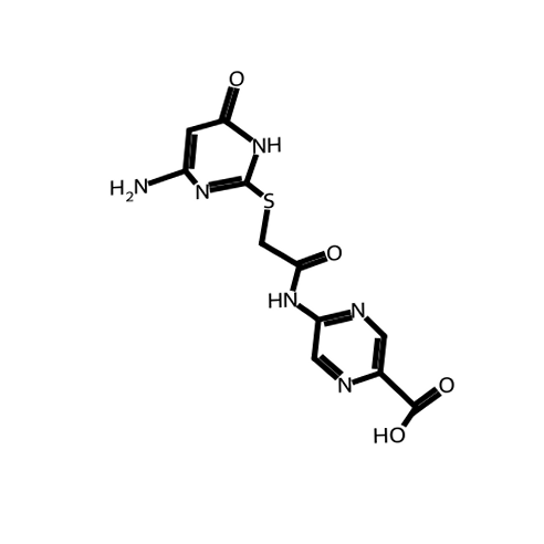 Nc1cc(=O)[nH]c(SCC(=O)Nc2cnc(C(=O)O)cn2)n1